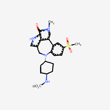 Cn1cc2c3c(c[nH]c3c1=O)CN([C@H]1CC[C@H](NC(=O)O)CC1)c1ccc(S(C)(=O)=O)cc1-2